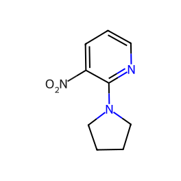 O=[N+]([O-])c1cccnc1N1CCCC1